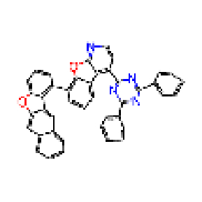 c1ccc(-c2nc(-c3ccccc3)nc(-c3ccnc4oc5c(-c6cccc7oc8cc9ccccc9cc8c67)cccc5c34)n2)cc1